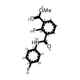 COC(=O)c1cccc(C(=O)Nc2ccc(F)cc2)c1F